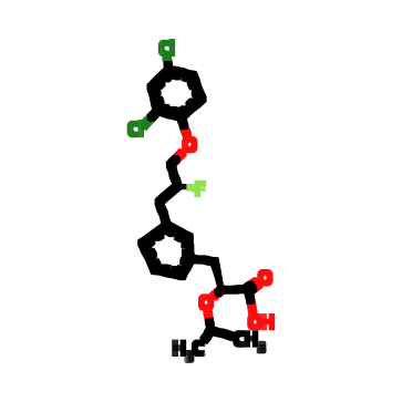 CC(C)O[C@@H](Cc1cccc(C[C@@H](F)COc2ccc(Cl)cc2Cl)c1)C(=O)O